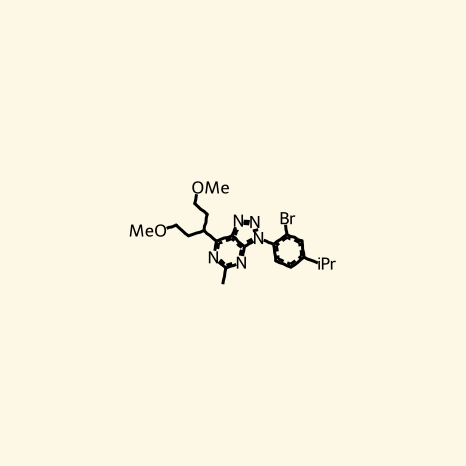 COCCC(CCOC)c1nc(C)nc2c1nnn2-c1ccc(C(C)C)cc1Br